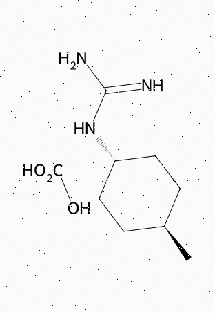 C[C@H]1CC[C@H](NC(=N)N)CC1.O=C(O)O